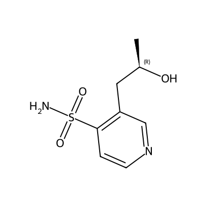 C[C@@H](O)Cc1cnccc1S(N)(=O)=O